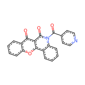 O=C(c1ccncc1)n1c(=O)c2c(=O)c3ccccc3oc2c2ccccc21